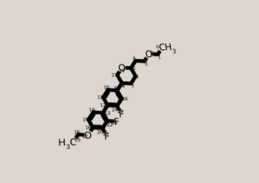 CCOCCC1CCC(c2ccc(-c3ccc(OCC)c(F)c3F)c(F)c2)CO1